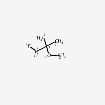 BOC(C)(C)BF